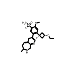 CCO[C@H]1C[C@](F)(c2cc(OC)c(S(N)(=O)=O)cc2C2=CN=C3CNC(C)CC=C3C2)C1